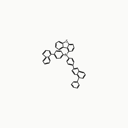 c1ccc(-c2cccc3cc(-c4ccc(N(c5ccc(-c6cccc7ccccc67)cc5)c5cccc6sc7ccccc7c56)cc4)ccc23)cc1